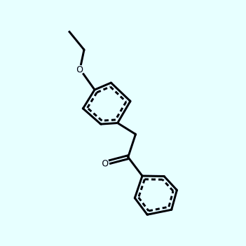 CCOc1ccc(CC(=O)c2ccccc2)cc1